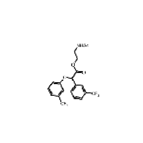 CC(=O)NCCOC(=O)C(Oc1cccc(C(F)(F)F)c1)c1cccc(C(F)(F)F)c1